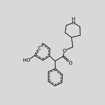 O=C(OCC1CCNCC1)C(c1ccccc1)c1cccc(O)c1